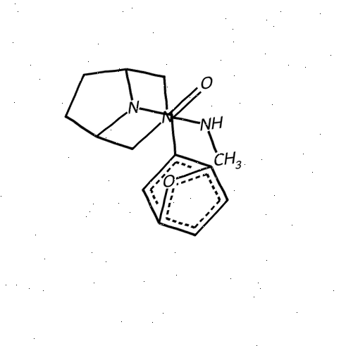 CNN1CC2CCC(C1)N2C(=O)c1cc2ccc1o2